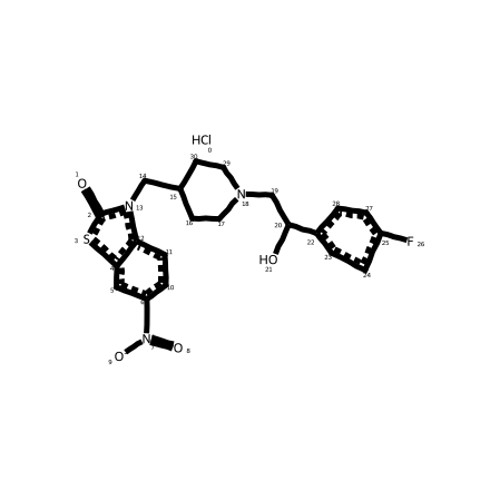 Cl.O=c1sc2cc([N+](=O)[O-])ccc2n1CC1CCN(CC(O)c2ccc(F)cc2)CC1